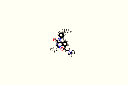 CCN(CC)CCCON=C(C)/C=C1/C(=O)N(c2ccc(OC)cc2)C1c1ccccc1